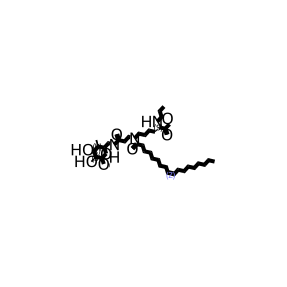 CCCCCCCC/C=C\CCCCCCCC(=O)N(CCCC[C@H](NC(=O)CC)C(C)=O)CCC(=O)NCC1OC(OC)[C@@H](O)[C@H](O)[C@H]1C